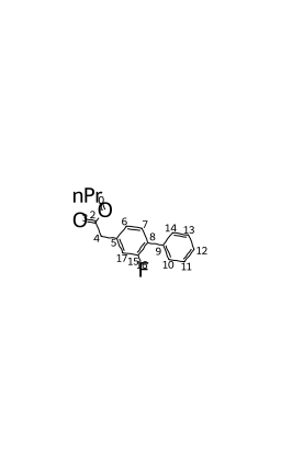 CCCOC(=O)Cc1ccc(-c2ccccc2)c(F)c1